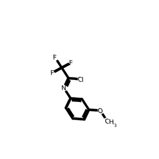 COc1cccc(N=C(Cl)C(F)(F)F)c1